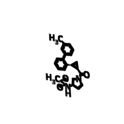 Cc1cccc(-c2ccccc2[C@@H]2C[C@H]2C(=O)N2CC[C@@H](NS(C)(=O)=O)C2)c1